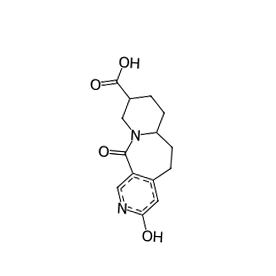 O=C(O)C1CCC2CCc3cc(O)ncc3C(=O)N2C1